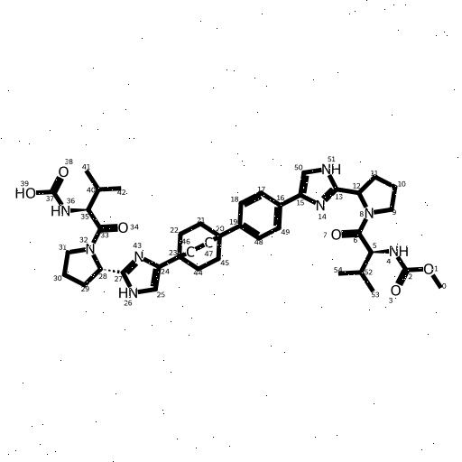 COC(=O)N[C@H](C(=O)N1CCCC1c1nc(-c2ccc(C34CCC(c5c[nH]c([C@@H]6CCCN6C(=O)[C@@H](NC(=O)O)C(C)C)n5)(CC3)CC4)cc2)c[nH]1)C(C)C